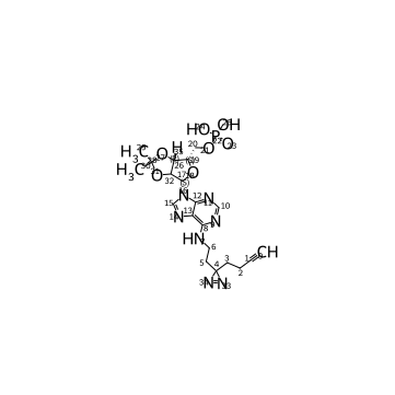 C#CCCC1(CCNc2ncnc3c2ncn3[C@H]2O[C@@H](COP(=O)(O)O)[C@H]3OC(C)(C)OC32)N=N1